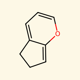 C1=COC2=CCCC2=C1